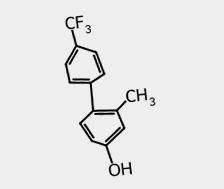 Cc1cc(O)ccc1-c1ccc(C(F)(F)F)cc1